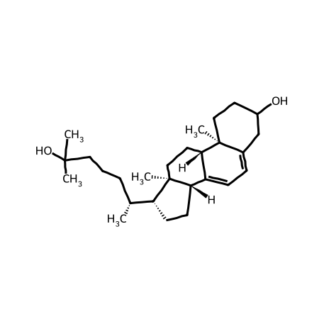 C[C@H](CCCC(C)(C)O)[C@H]1CC[C@H]2C3=CC=C4CC(O)CC[C@]4(C)[C@H]3CC[C@]12C